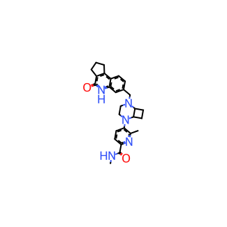 CNC(=O)c1ccc(N2CCN(Cc3ccc4c5c(c(=O)[nH]c4c3)CCC5)C3CCC32)c(C)n1